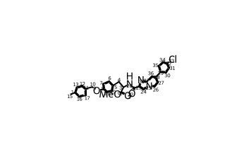 COC(=O)C(Cc1ccc(OCc2ccc(C)cc2)cc1)NC(=O)c1cn2ccc(-c3ccc(Cl)cc3)cc2n1